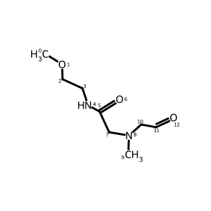 COCCNC(=O)CN(C)CC=O